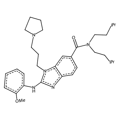 COc1ccccc1Nc1nc2ccc(C(=O)N(CCC(C)C)CCC(C)C)cc2n1CCCN1CCCC1